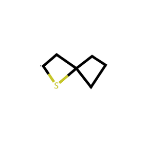 [CH]1CC2(CCC2)S1